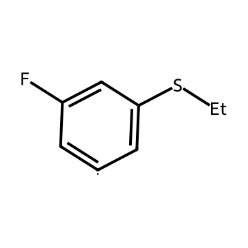 CCSc1c[c]cc(F)c1